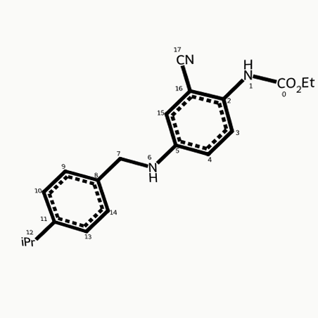 CCOC(=O)Nc1ccc(NCc2ccc(C(C)C)cc2)cc1C#N